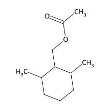 CC(=O)OCC1C(C)CCCC1C